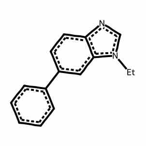 CCn1cnc2ccc(-c3ccccc3)cc21